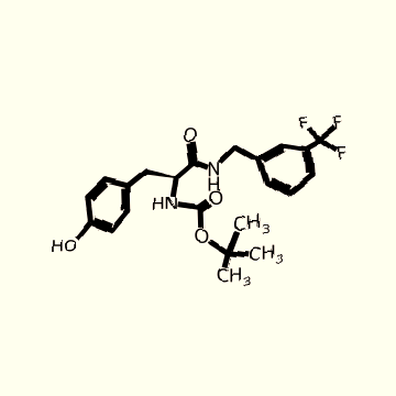 CC(C)(C)OC(=O)N[C@@H](Cc1ccc(O)cc1)C(=O)NCc1cccc(C(F)(F)F)c1